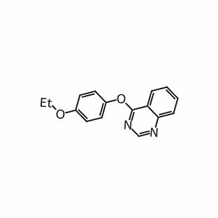 [CH2]COc1ccc(Oc2ncnc3ccccc23)cc1